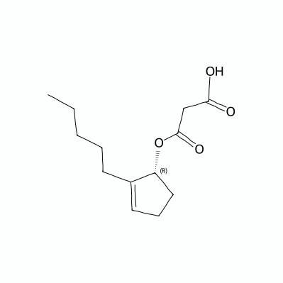 CCCCCC1=CCC[C@H]1OC(=O)CC(=O)O